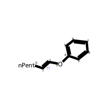 CCCCC/C=C/Oc1c[c]ccc1